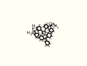 CC1(C)c2ccccc2-c2c(C3=C[Si]4(C=C3c3cccc5c3-c3ccccc3C5(C)C)c3ccccc3B(c3ccccc3)c3ccccc34)cccc21